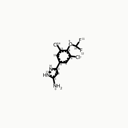 Nc1cc(-c2cc(Cl)c(OC(F)F)c(Cl)c2)n[nH]1